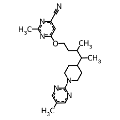 Cc1cnc(N2CCC(C(C)C(C)CCOc3cc(C#N)nc(C)n3)CC2)nc1